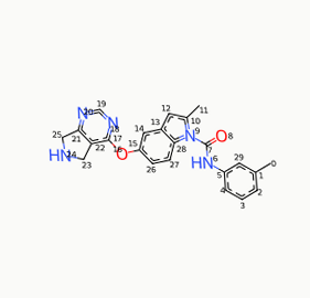 Cc1cccc(NC(=O)n2c(C)cc3cc(Oc4ncnc5c4CNC5)ccc32)c1